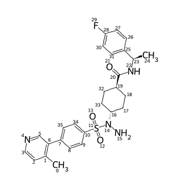 Cc1ccncc1-c1ccc(S(=O)(=O)N(N)[C@H]2CC[C@H](C(=O)N[C@H](C)c3ccc(F)cc3)CC2)cc1